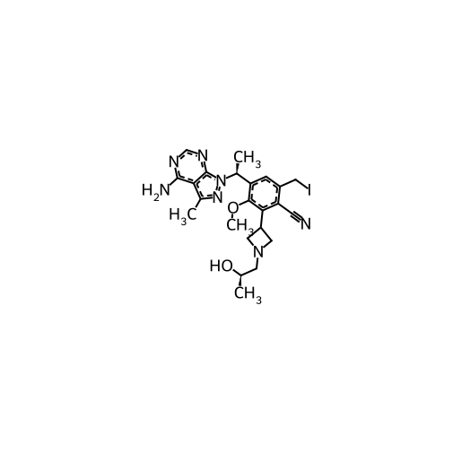 COc1c([C@H](C)n2nc(C)c3c(N)ncnc32)cc(CI)c(C#N)c1C1CN(C[C@@H](C)O)C1